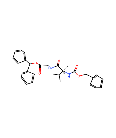 CC(C)[C@](C)(NC(=O)OCc1ccccc1)C(=O)NCC(=O)OC(c1ccccc1)c1ccccc1